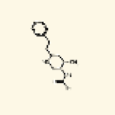 CCC(=O)N[C@H]1CNN(CCc2ccccc2)C[C@@H]1C